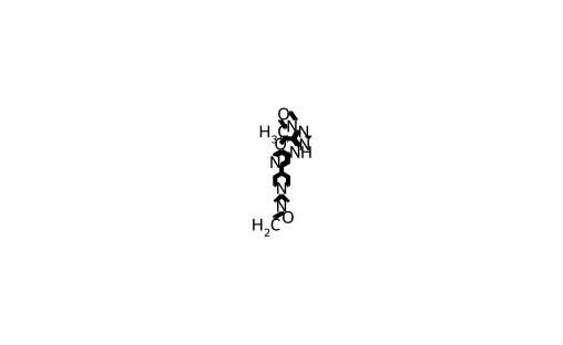 C=CC(=O)N1CC(N2CCC(c3cc4c(cn3)O[C@@H](C)c3c(ncnc3N3CCOCC3)N4)CC2)C1